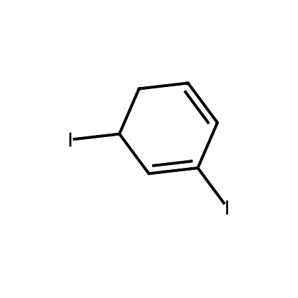 IC1=CC(I)CC=C1